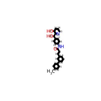 Cc1ccc(-c2cccc(/C=C/C(=O)Nc3ccc(C(O)c4ncccc4O)cc3)c2)cc1